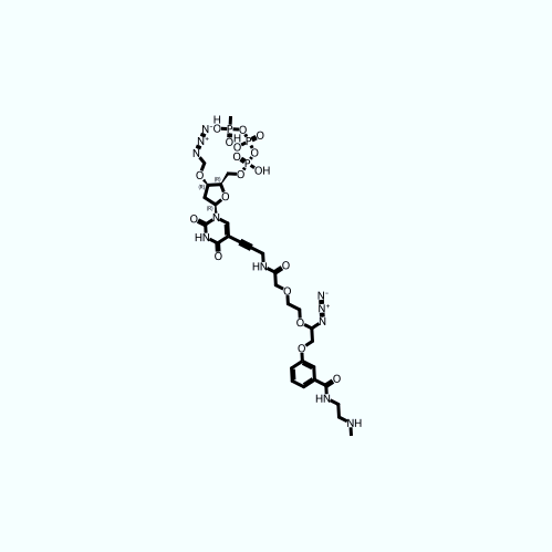 CNCCNC(=O)c1cccc(OCC(N=[N+]=[N-])OCCOCC(=O)NCC#Cc2cn([C@H]3C[C@@H](OCN=[N+]=[N-])[C@@H](COP(=O)(O)OP(=O)(O)OP(C)(=O)O)O3)c(=O)[nH]c2=O)c1